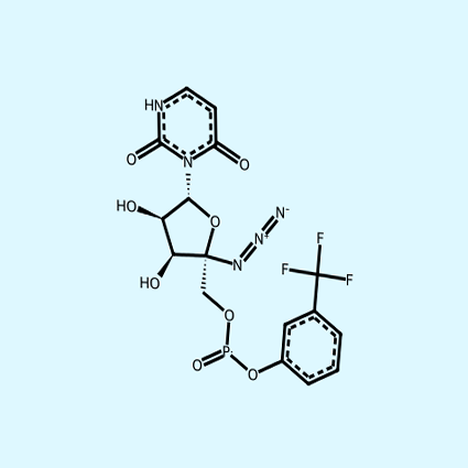 [N-]=[N+]=N[C@]1(CO[P](=O)Oc2cccc(C(F)(F)F)c2)O[C@@H](n2c(=O)cc[nH]c2=O)[C@H](O)[C@@H]1O